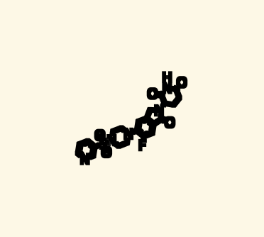 O=C1CCC(N2Cc3cc(N4CCN(S(=O)(=O)c5cccnc5)CC4)c(F)cc3C2=O)C(=O)N1